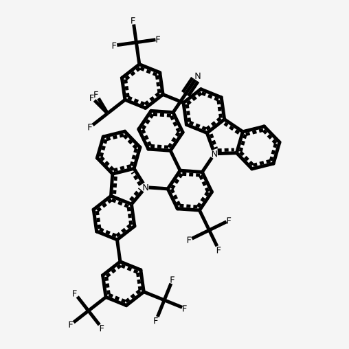 N#Cc1cccc(-c2c(-n3c4ccccc4c4ccc(-c5cc(C(F)(F)F)cc(C(F)(F)F)c5)cc43)cc(C(F)(F)F)cc2-n2c3ccccc3c3ccc(-c4cc(C(F)(F)F)cc(C(F)(F)F)c4)cc32)c1